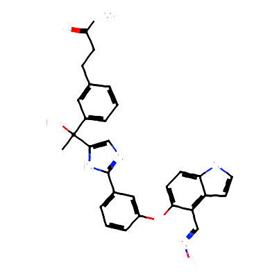 COC(=O)CCc1cccc(C(C)(O)c2cnc(-c3cccc(Oc4ccc5[nH]ccc5c4C=NO)c3)[nH]2)c1